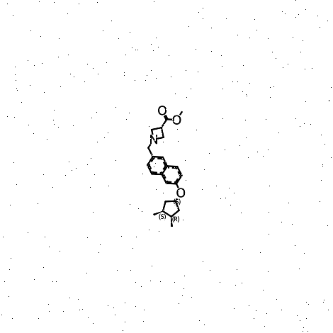 COC(=O)C1CN(Cc2ccc3cc(O[C@@H]4C[C@@H](C)[C@@H](C)C4)ccc3c2)C1